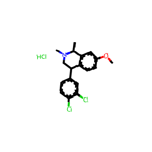 COc1ccc2c(c1)C(C)N(C)CC2c1ccc(Cl)c(Cl)c1.Cl